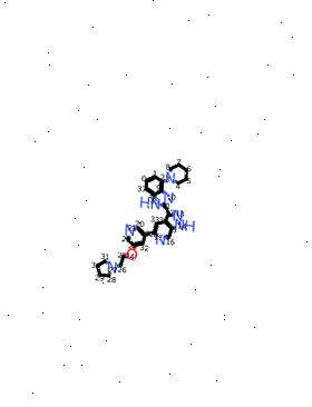 c1cc(N2CCCCC2)c2nc(-c3n[nH]c4cnc(-c5cncc(OCCN6CCCC6)c5)cc34)[nH]c2c1